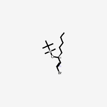 CCCCC[C@@H](/C=C/Br)O[Si](C)(C)C(C)(C)C